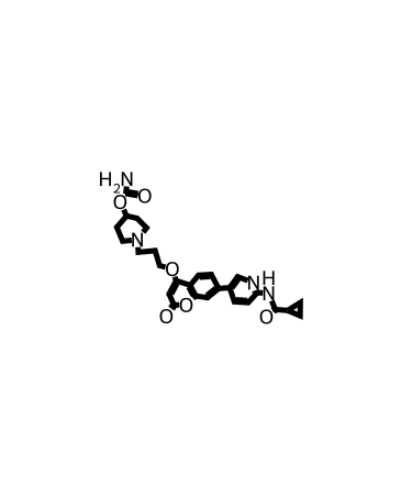 NC(=O)OC1CCN(CCCOc2cc(=O)oc3cc(-c4ccc(NC(=O)C5CC5)nc4)ccc23)CC1